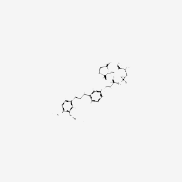 COc1ccc(CCCc2cccc(OCC(=O)NC(C)(C)CC(C)C(=O)ON3C(=O)CCC3=O)c2)cc1OC